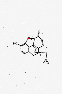 O=C1C=CC2[C@H]3Cc4ccc(O)c5c4[C@@]2(CCN3CC2=CC2)[C@H]1O5